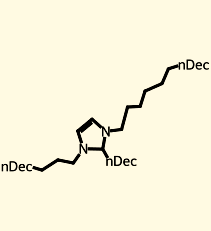 CCCCCCCCCCCCCCCCN1C=CN(CCCCCCCCCCCCC)C1CCCCCCCCCC